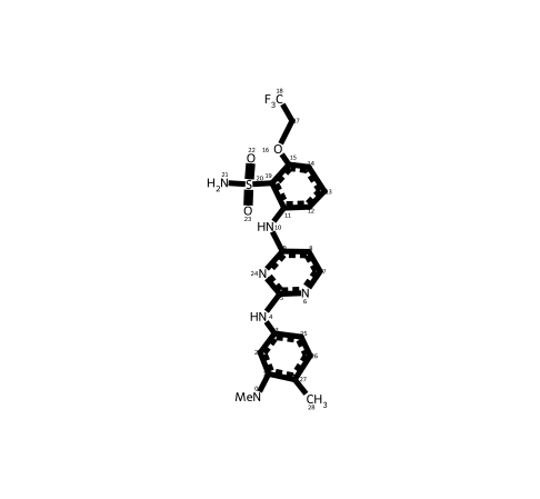 CNc1cc(Nc2nccc(Nc3cccc(OCC(F)(F)F)c3S(N)(=O)=O)n2)ccc1C